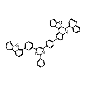 c1ccc(-c2nc(-c3ccc(-c4ccc5nc(-c6cccc7ccccc67)c6oc7ccccc7c6c5c4)cc3)cc(-c3cccc(-c4cccc5c4sc4ccccc45)c3)n2)cc1